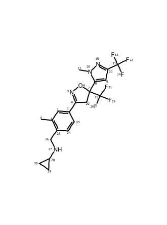 Cc1cc(C2=NOC(c3cc(C(F)(F)F)nn3C)(C(F)(F)F)C2)ccc1CNC1CC1